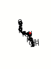 O=C(Nc1ccc(Oc2ccnc3cc(-c4ccc(CN5CCN(CCN6CCOCC6)CC5)cn4)sc23)c(F)c1)NC1CC1